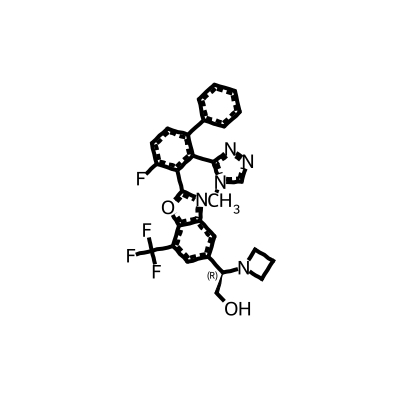 Cn1cnnc1-c1c(-c2ccccc2)ccc(F)c1-c1nc2cc([C@H](CO)N3CCC3)cc(C(F)(F)F)c2o1